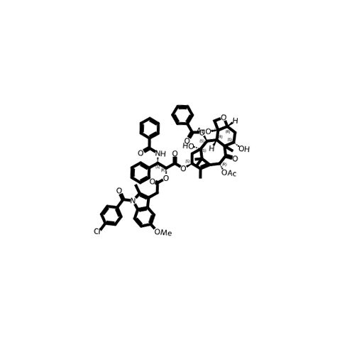 COc1ccc2c(c1)c(CC(=O)O[C@@H](C(=O)O[C@H]1C[C@@]3(O)[C@@H](OC(=O)c4ccccc4)[C@H]4C(C)(C(=O)[C@H](OC(C)=O)C(=C1C)C3(C)C)[C@@H](O)C[C@H]1OC[C@]14OC(C)=O)[C@@H](NC(=O)c1ccccc1)c1ccccc1)c(C)n2C(=O)c1ccc(Cl)cc1